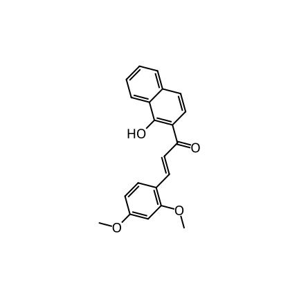 COc1ccc(C=CC(=O)c2ccc3ccccc3c2O)c(OC)c1